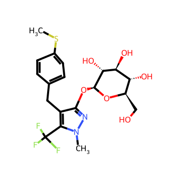 CSc1ccc(Cc2c(O[C@@H]3O[C@H](CO)[C@@H](O)[C@H](O)[C@H]3O)nn(C)c2C(F)(F)F)cc1